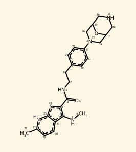 CNc1c(C(=O)NCCc2ccc(N3CC4CNCC(C3)O4)cc2)sc2nc(C)ccc12